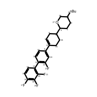 CCCCC1CCC(C2CC=C(c3ccc(-c4ccc(F)c(F)c4F)c(F)c3)CC2)OC1